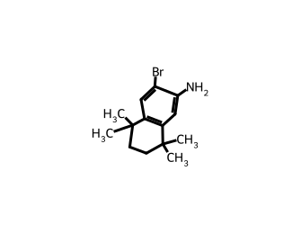 CC1(C)CCC(C)(C)c2cc(Br)c(N)cc21